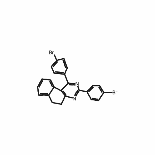 Brc1ccc(-c2nc3c(c(-c4ccc(Br)cc4)n2)-c2ccccc2CC3)cc1